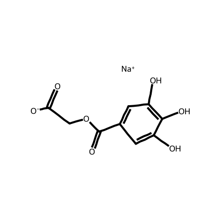 O=C([O-])COC(=O)c1cc(O)c(O)c(O)c1.[Na+]